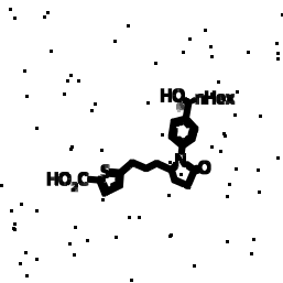 CCCCCC[C@H](O)c1ccc(N2C(=O)CCC2CCCc2ccc(C(=O)O)s2)cc1